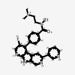 CCN(CCN(C)C)C(=O)c1ccc(-c2c(F)cnc3[nH]c4cnc(-c5cccnc5)cc4c23)cc1